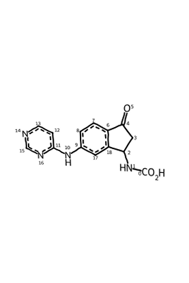 O=C(O)NC1CC(=O)c2ccc(Nc3ccncn3)cc21